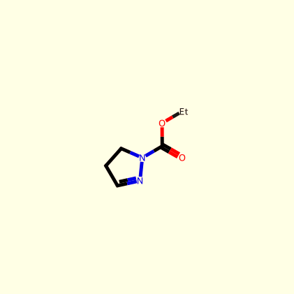 CCOC(=O)N1CCC=N1